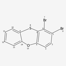 Brc1ccc2c(c1Br)Sc1ccccc1O2